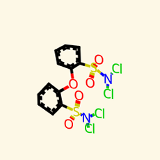 O=S(=O)(c1ccccc1Oc1ccccc1S(=O)(=O)N(Cl)Cl)N(Cl)Cl